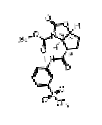 CC(C)(C)OC(=O)N1C(=O)O[C@H]2CC[C@@H](C(=O)Nc3cccc(S(=O)(=O)C(F)(F)F)c3)[C@H]21